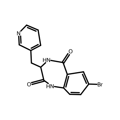 O=C1NC(Cc2cccnc2)C(=O)Nc2ccc(Br)cc21